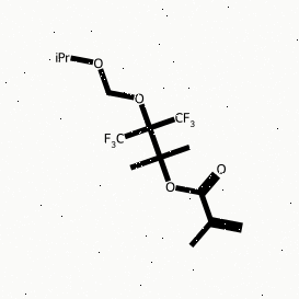 C=C(C)C(=O)OC(C)(C)C(OCOC(C)C)(C(F)(F)F)C(F)(F)F